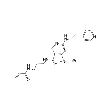 C=CC(=O)NCCCNC(=O)c1cnc(NCCc2ccncc2)nc1NCCC